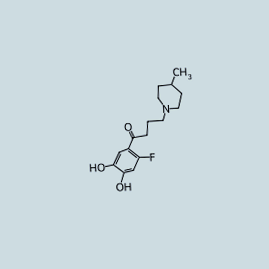 CC1CCN(CCCC(=O)c2cc(O)c(O)cc2F)CC1